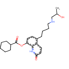 CC(O)CNCCCCc1ccc(OC(=O)C2CCCCC2)c2[nH]c(=O)ccc12